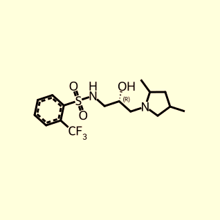 CC1CC(C)N(C[C@@H](O)CNS(=O)(=O)c2ccccc2C(F)(F)F)C1